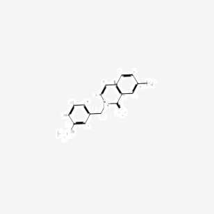 O=c1c2cc(Br)ccc2ccn1Cc1cccc(C(F)(F)F)c1